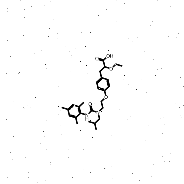 CCOC(Cc1ccc(OCCN(CC(C)C)C(=O)Nc2c(C)cc(C)cc2C)cc1)C(=O)O